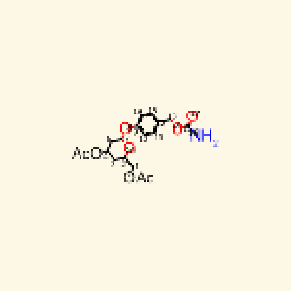 CC(=O)OCC1CC(OC(C)=O)CC(Oc2ccc(COC(N)=O)cc2)O1